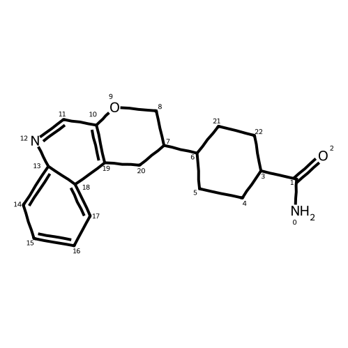 NC(=O)C1CCC(C2COc3cnc4ccccc4c3C2)CC1